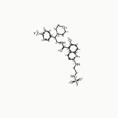 CS(=O)(=O)NCCNc1ccc2c(C(=O)NCC(c3cnc(C(F)(F)F)nc3)N3CCOCC3)c(Cl)ccc2n1